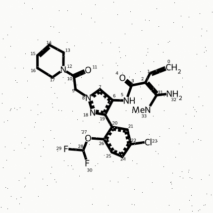 C=C/C(C(=O)Nc1cn(CC(=O)N2CC=CCC2)nc1-c1cc(Cl)ccc1OC(F)F)=C(\N)NC